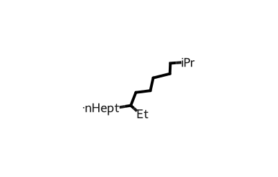 CCCCCC[CH]C(CC)CCCCCC(C)C